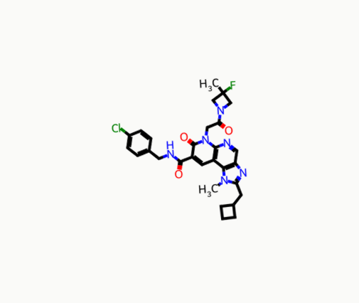 Cn1c(CC2CCC2)nc2cnc3c(cc(C(=O)NCc4ccc(Cl)cc4)c(=O)n3CC(=O)N3CC(C)(F)C3)c21